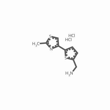 Cc1nc(-c2ccc(CN)s2)cs1.Cl.Cl